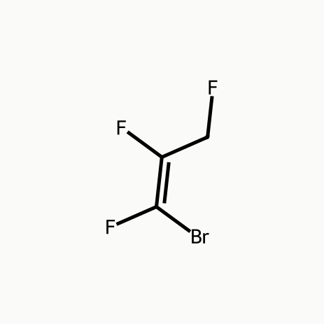 FC/C(F)=C(/F)Br